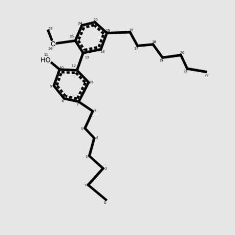 CCCCCCCc1ccc(O)c(-c2cc(CCCCCCC)ccc2OC)c1